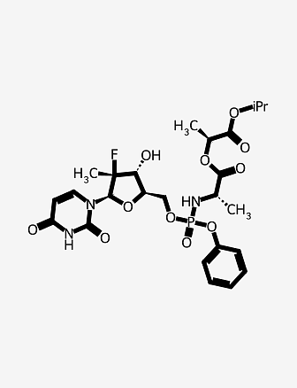 CC(C)OC(=O)[C@H](C)OC(=O)[C@H](C)NP(=O)(OC[C@H]1O[C@@H](n2ccc(=O)[nH]c2=O)[C@](C)(F)[C@@H]1O)Oc1ccccc1